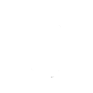 O=C(O)[C@@H]1CSC(c2ccccc2O)N1C(=O)CCSSCCC(=O)N1C(c2ccccc2O)SC[C@H]1C(=O)OCCN1C(=O)c2ccccc2C1=O